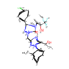 Cc1ccccc1-n1nc(Cn2nc(-c3ccc(Cl)cc3)n(C[C@H](O)C(F)(F)F)c2=O)nc1C(C)O